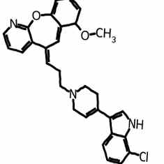 COC1C=CC=C2Oc3ncccc3C(=CCCN3CC=C(c4c[nH]c5c(Cl)cccc45)CC3)C=C21